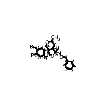 C[C@H]1C[C@H]2[C@H](COCc3ccccc3)ON[C@@]2(c2cc(Br)c(F)cc2F)CO1